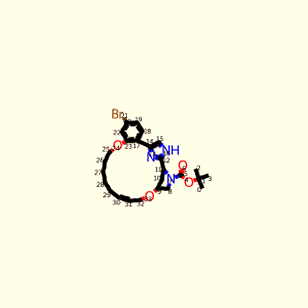 CC(C)(C)OC(=O)N1CC2CC1c1nc(c[nH]1)-c1ccc(Br)cc1OCCCCCC=CCO2